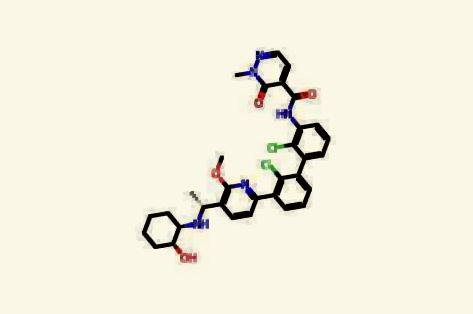 COc1nc(-c2cccc(-c3cccc(NC(=O)c4ccnn(C)c4=O)c3Cl)c2Cl)ccc1[C@@H](C)N[C@@H]1CCCC[C@@H]1O